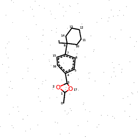 CC1OC(c2ccc(C3(C)CCCCC3)cc2)O1